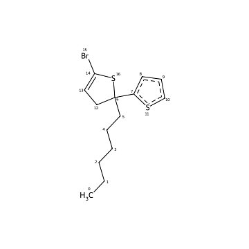 CCCCCCC1(c2cccs2)CC=C(Br)S1